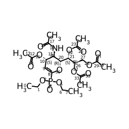 CCOP(=O)(OCC)C1=C[C@H](OC(C)=O)[C@@H](NC(C)=O)[C@H]([C@H](OC(C)=O)[C@@H](COC(C)=O)OC(C)=O)O1